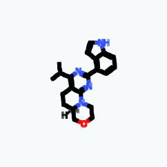 CC(C)c1nc(-c2cccc3[nH]ccc23)nc2c1CC[C@@H]1COCCN21